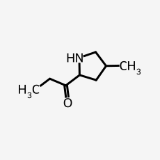 CCC(=O)C1CC(C)CN1